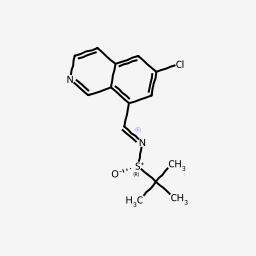 CC(C)(C)[S@+]([O-])/N=C/c1cc(Cl)cc2ccncc12